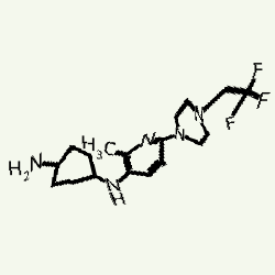 Cc1nc(N2CCN(CC(F)(F)F)CC2)ccc1NC1CCC(N)CC1